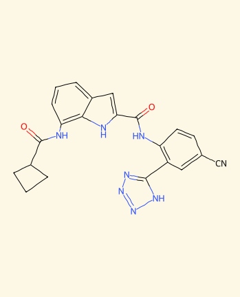 N#Cc1ccc(NC(=O)c2cc3cccc(NC(=O)C4CCC4)c3[nH]2)c(-c2nnn[nH]2)c1